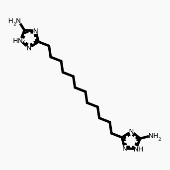 Nc1nc(CCCCCCCCCCCCc2n[nH]c(N)n2)n[nH]1